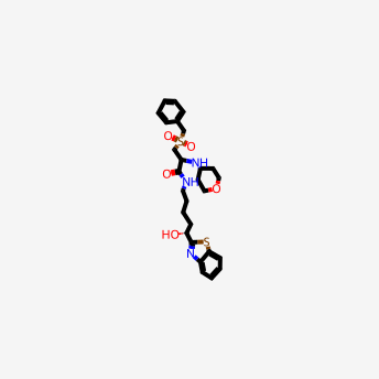 O=C(NCCCC[C@@H](O)c1nc2ccccc2s1)C(CS(=O)(=O)Cc1ccccc1)NC1CCOCC1